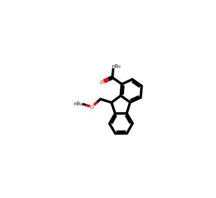 CCCCOCC1c2ccccc2-c2cccc(C(=O)CCCC)c21